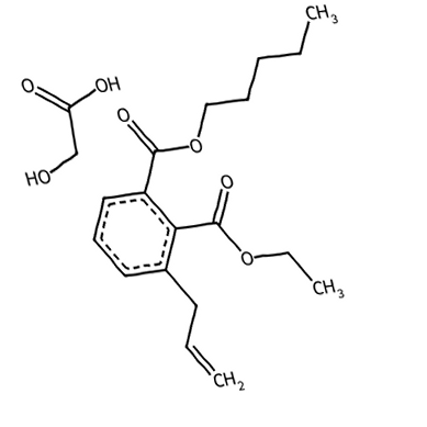 C=CCc1cccc(C(=O)OCCCCC)c1C(=O)OCC.O=C(O)CO